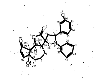 C[C@H]1CC[C@@H]2[C@@H](OC(=O)C23CC(c2cccc(Cl)c2)N(c2ccccc2)O3)[C@]2(C)C(=O)C=C[C@@]12O